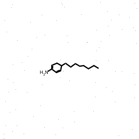 CCCCCCCCC1C=CC(N)=CC1